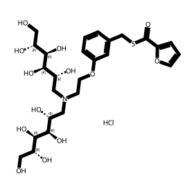 Cl.O=C(SCc1cccc(OCCN(C[C@@H](O)[C@@H](O)[C@H](O)[C@H](O)CO)C[C@@H](O)[C@@H](O)[C@H](O)[C@H](O)CO)c1)c1ccco1